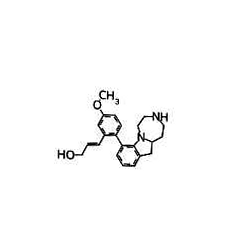 COc1ccc(-c2cccc3c2N2CCNCCC2C3)c(/C=C/CO)c1